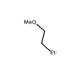 C[C]CCOC